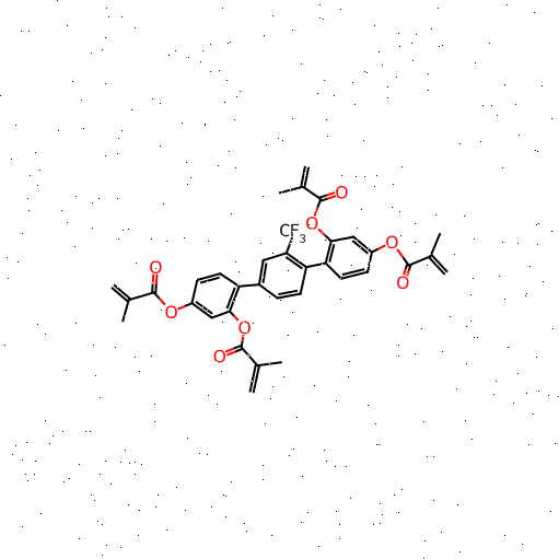 C=C(C)C(=O)Oc1ccc(-c2ccc(-c3ccc(OC(=O)C(=C)C)cc3OC(=O)C(=C)C)c(C(F)(F)F)c2)c(OC(=O)C(=C)C)c1